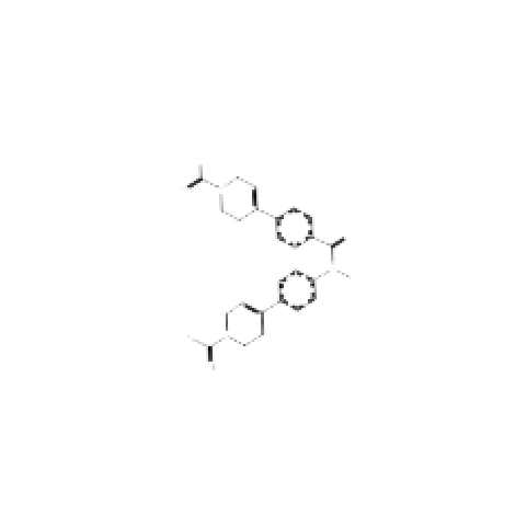 CN(C(=O)c1ccc(C2=CCN(C(=N)N)CC2)cc1)c1ccc(C2=CCN(C(=N)N)CC2)cc1